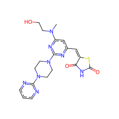 CN(CCO)c1cc(C=C2SC(=O)NC2=O)nc(N2CCN(c3ncccn3)CC2)n1